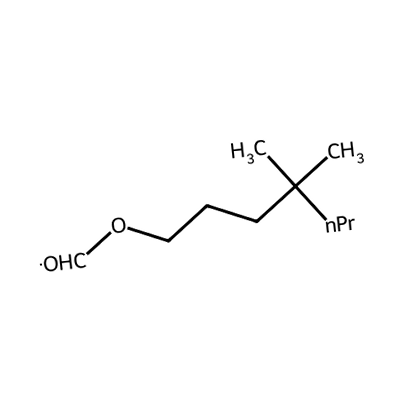 CCCC(C)(C)CCCO[C]=O